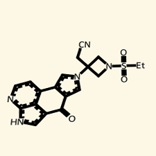 CCS(=O)(=O)N1CC(CC#N)(n2cc3c(c2)-c2ccnc4[nH]cc(c24)C3=O)C1